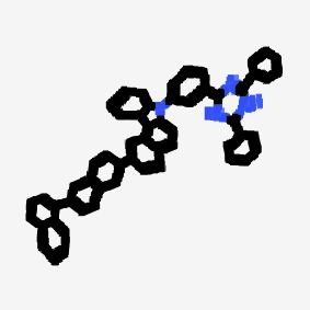 c1ccc(C2=NC(c3cccc(-n4c5ccccc5c5c6cc(-c7ccc8cc(-c9cccc%10ccccc9%10)ccc8c7)ccc6ccc54)c3)NC(c3ccccc3)N2)cc1